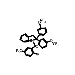 O=C(NC(Cc1ccccc1)(c1cccc(OC(F)(F)F)c1)c1cccc(OC(F)(F)F)c1)c1cc(C(F)(F)F)ccc1F